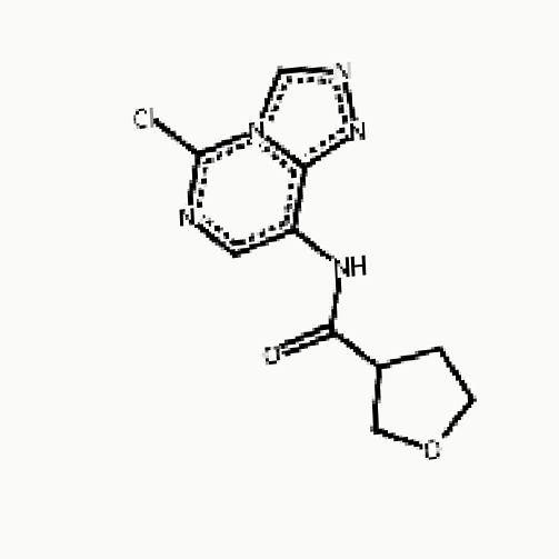 O=C(Nc1cnc(Cl)n2cnnc12)C1CCOC1